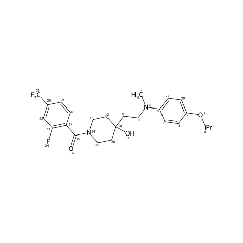 CC(C)Oc1ccc(N(C)CCC2(O)CCN(C(=O)c3ccc(C(F)(F)F)cc3F)CC2)cc1